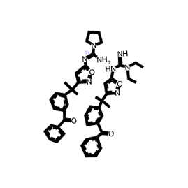 CC(C)(c1cccc(C(=O)c2ccccc2)c1)c1cc(/N=C(\N)N2CCCC2)on1.CCN(CC)C(=N)Nc1cc(C(C)(C)c2cccc(C(=O)c3ccccc3)c2)no1